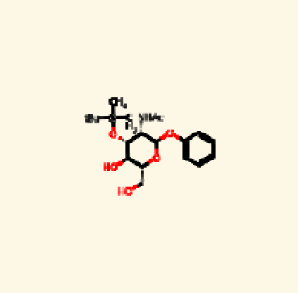 CC(=O)N[C@@H]1[C@@H](Oc2ccccc2)O[C@H](CO)[C@@H](O)[C@@H]1O[Si](C)(C)C(C)(C)C